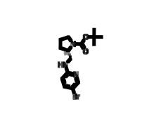 CC(C)(C)OC(=O)N1CCC[C@H]1CNc1ccc(Br)cn1